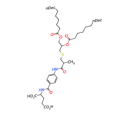 CCCCCCCCCCCCCCCC(=O)OCC(CSCC(C)C(=O)Nc1ccc(C(=O)NC(CCC(=O)O)C(=O)O)cc1)OC(=O)CCCCCCCCCCCCCCC